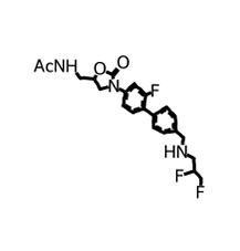 CC(=O)NCC1CN(c2ccc(-c3ccc(CNCC(F)CF)cc3)c(F)c2)C(=O)O1